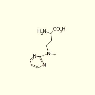 CN(CCC(N)C(=O)O)c1ncccn1